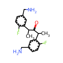 CC(C(=O)C(C)c1cc(CN)ccc1F)c1cc(CN)ccc1F